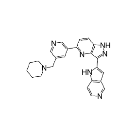 c1cc2[nH]c(-c3n[nH]c4ccc(-c5cncc(CN6CCCCC6)c5)nc34)cc2cn1